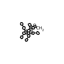 C=C1COc2c1cc1c3c2c2ccccc2n3-c2cc3c4c5c2B1c1cc(-c2ccccc2)ccc1N5c1ccc(-c2ccccc2)cc1B4c1cc(-c2ccccc2)ccc1N3c1ccc(-c2ccccc2)cc1